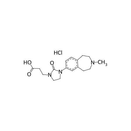 CN1CCc2ccc(N3CCN(CCC(=O)O)C3=O)cc2CC1.Cl